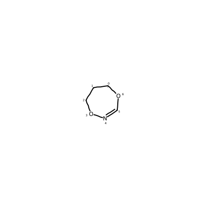 [CH]1CCON=CO1